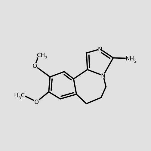 COc1cc2c(cc1OC)-c1cnc(N)n1CCC2